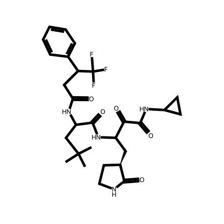 CC(C)(C)CC(NC(=O)CC(c1ccccc1)C(F)(F)F)C(=O)NC(C[C@@H]1CCNC1=O)C(=O)C(=O)NC1CC1